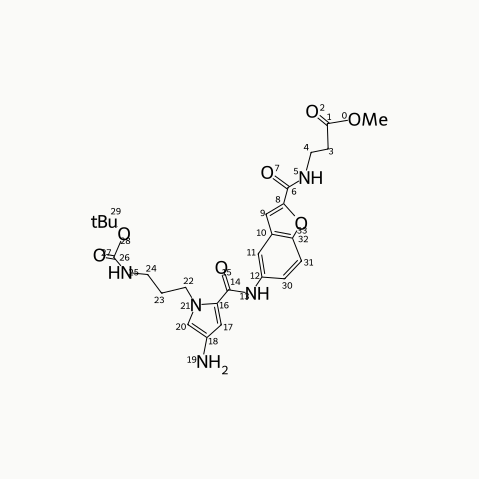 COC(=O)CCNC(=O)c1cc2cc(NC(=O)c3cc(N)cn3CCCNC(=O)OC(C)(C)C)ccc2o1